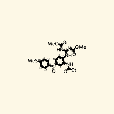 CCC(=O)Nc1cc([S+]([O-])c2ccc(SC)cc2)ccc1NC(=NC(=O)OC)NC(=O)OC